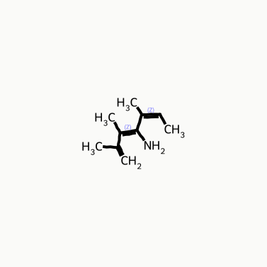 C=C(C)/C(C)=C(N)/C(C)=C\C